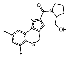 O=C(c1cc2c(s1)-c1cc(F)cc(F)c1SC2)N1CCCC1CO